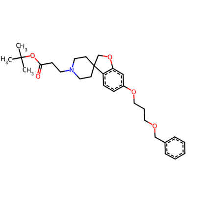 CC(C)(C)OC(=O)CCN1CCC2(CC1)COc1cc(OCCCOCc3ccccc3)ccc12